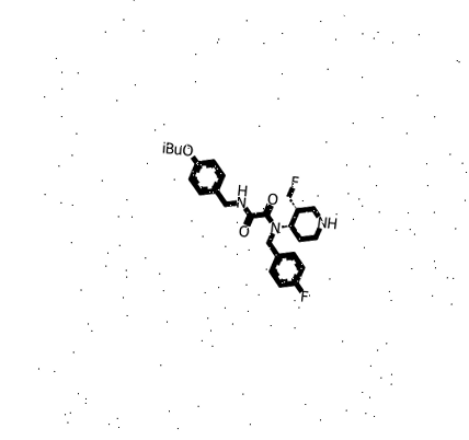 CC(C)COc1ccc(CNC(=O)C(=O)N(Cc2ccc(F)cc2)[C@H]2CCNC[C@H]2CF)cc1